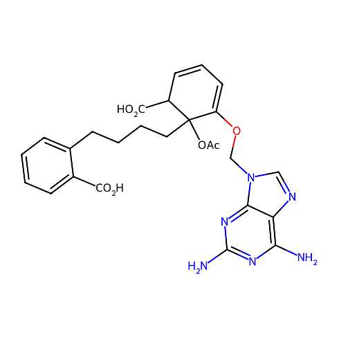 CC(=O)OC1(CCCCc2ccccc2C(=O)O)C(OCn2cnc3c(N)nc(N)nc32)=CC=CC1C(=O)O